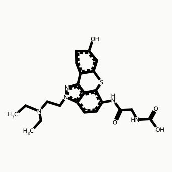 CCN(CC)CCn1nc2c3c(c(NC(=O)CNC(=O)O)ccc31)Sc1cc(O)ccc1-2